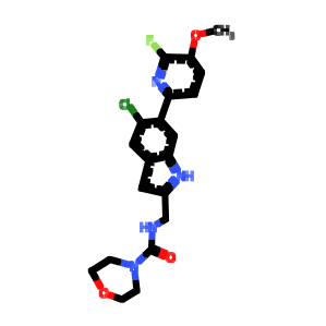 COc1ccc(-c2cc3[nH]c(CNC(=O)N4CCOCC4)cc3cc2Cl)nc1F